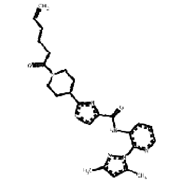 C=CCCCC(=O)N1CCC(c2nc(C(=O)Nc3cccnc3-n3nc(C)cc3C)cs2)CC1